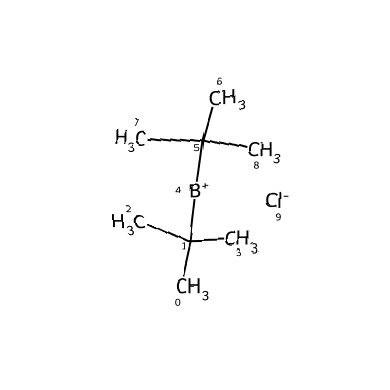 CC(C)(C)[B+]C(C)(C)C.[Cl-]